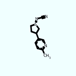 Cc1ccc(C2CC/S(=N/C#N)C2)cn1